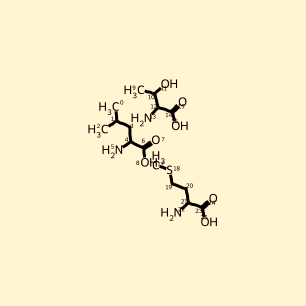 CC(C)CC(N)C(=O)O.CC(O)C(N)C(=O)O.CSCCC(N)C(=O)O